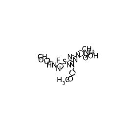 COc1ccc(CNc2nccc(Sc3nn(Cc4ccc(OC)cc4)c4nc(N5CCC(C)(NC(=O)O)CC5)cnc34)c2F)cc1